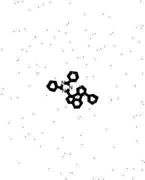 c1ccc(-c2nc(-c3ccccc3)nc(-c3ccc4cccc5c4c3-c3cccc(-c4ccccc4)c3-5)n2)cc1